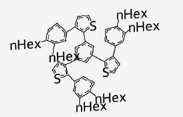 CCCCCCc1ccc(-c2ccsc2-c2cc(-c3ccsc3-c3ccc(CCCCCC)c(CCCCCC)c3)cc(-c3sccc3-c3ccc(CCCCCC)c(CCCCCC)c3)c2)cc1CCCCCC